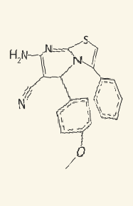 COc1ccc(C2C(C#N)=C(N)N=C3SC=C(c4ccccc4)N32)cc1